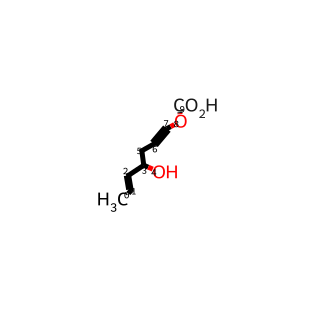 CC=CC(O)CC#COC(=O)O